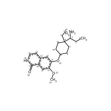 CCC(N)C1(CC)CCC(Oc2cc3cc[nH]c(=O)c3cc2OC)CC1